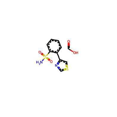 NS(=O)(=O)c1ccccc1-c1cscn1.O=CO